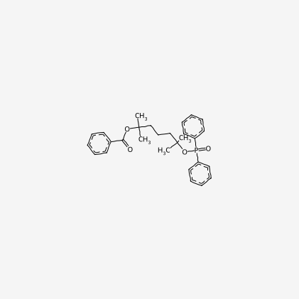 CC(C)(CCCC(C)(C)OP(=O)(c1ccccc1)c1ccccc1)OC(=O)c1ccccc1